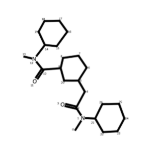 CN(C(=O)CC1CCCC(C(=O)N(C)C2CCCCC2)C1)C1CCCCC1